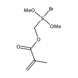 C=C(C)C(=O)OC[Si](Br)(OC)OC